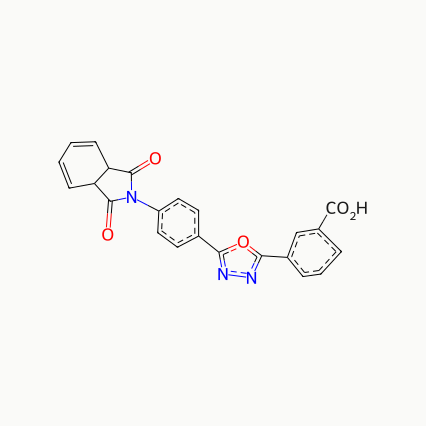 O=C(O)c1cccc(-c2nnc(-c3ccc(N4C(=O)C5C=CC=CC5C4=O)cc3)o2)c1